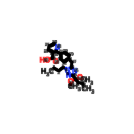 CCCCn1nc(C(CCC)(OC)OC)nc1Cc1ccc(-c2ncccc2C(=O)O)cc1